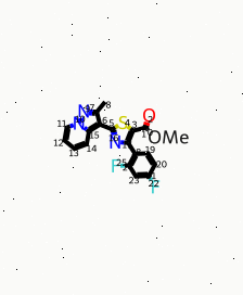 COC(=O)c1sc(-c2c(C)nn3ccccc23)nc1-c1ccc(F)cc1F